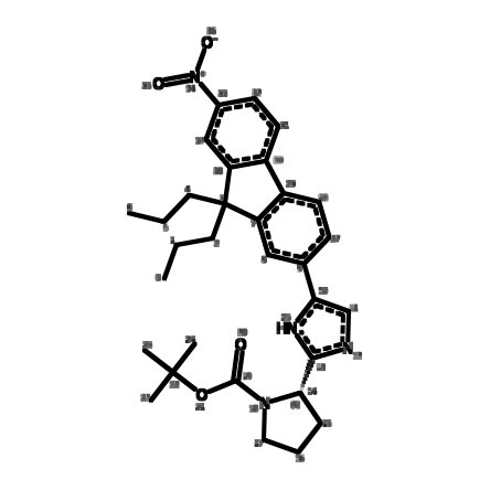 CCCC1(CCC)c2cc(-c3cnc([C@@H]4CCCN4C(=O)OC(C)(C)C)[nH]3)ccc2-c2ccc([N+](=O)[O-])cc21